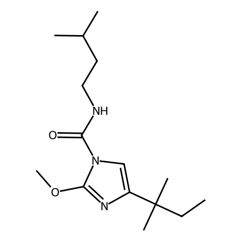 CCC(C)(C)c1cn(C(=O)NCCC(C)C)c(OC)n1